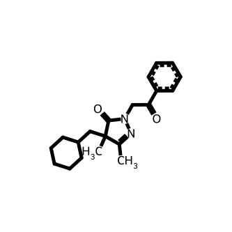 CC1=NN(CC(=O)c2ccccc2)C(=O)C1(C)CC1CCCCC1